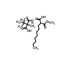 CC(C)(C)C(C)(C(=O)O)C(=O)O.CCCCCCCCC(C(=O)O)C(=O)OC